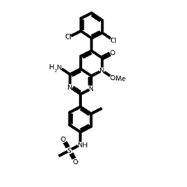 COn1c(=O)c(-c2c(Cl)cccc2Cl)cc2c(N)nc(-c3ccc(NS(C)(=O)=O)cc3C)nc21